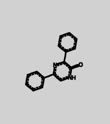 O=c1[nH]cc(-c2ccccc2)nc1-c1ccccc1